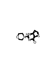 O=c1nc(N2CCOCC2)[nH]c2ccsc12